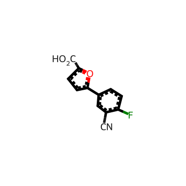 N#Cc1cc(-c2ccc(C(=O)O)o2)ccc1F